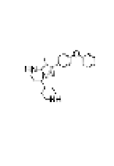 Cc1c(-c2ccc(Oc3ccccc3)cc2)nn2c1NCCC2C1CCNCC1